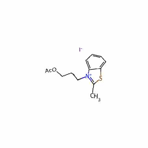 CC(=O)OCCC[n+]1c(C)sc2ccccc21.[I-]